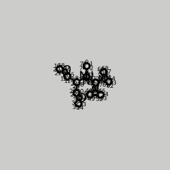 c1ccc(-c2nc(-c3cc(-c4ccc5c(c4)oc4ccccc45)cc(-c4ccc5c(c4)oc4ccccc45)c3)nc(-c3cc(-n4c5ccccc5c5ccccc54)cc(-n4c5ccccc5c5ccccc54)c3)n2)cc1